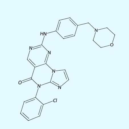 O=c1c2cnc(Nc3ccc(CN4CCOCC4)cc3)nc2n2ccnc2n1-c1ccccc1Cl